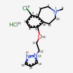 CN1CCc2c(Cl)ccc(OCCn3cccn3)c2CC1.Cl